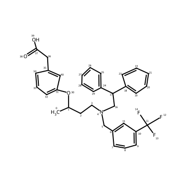 CC(CCN(Cc1cccc(C(F)(F)F)c1)CC(c1ccccc1)c1ccccc1)Oc1cccc(CC(=O)O)c1